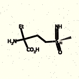 CCC(N)(CC[S@@](C)(=N)=O)C(=O)O